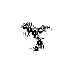 Cc1cc(-c2cnnn2C)ncc1-c1cc2cnc(Nc3ccc(NC4CCNC4)cc3)nc2n(C2CCN(S(C)(=O)=O)CC2)c1=O